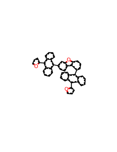 c1coc(-c2c3ccccc3c(-c3ccc4c(c3)oc3cccc(-c5c6ccccc6c(-c6ccco6)c6ccccc56)c34)c3ccccc23)c1